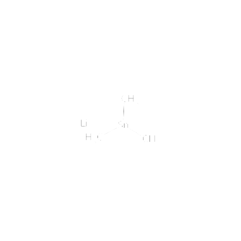 [CH3][Sn-]([CH3])[CH3].[Li+]